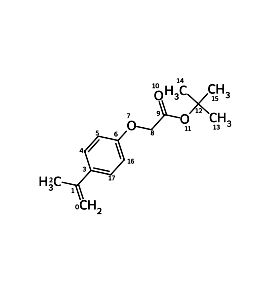 C=C(C)c1ccc(OCC(=O)OC(C)(C)C)cc1